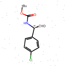 CC(C)(C)OC(=O)N[C@@H](C=O)c1ccc(Cl)cc1